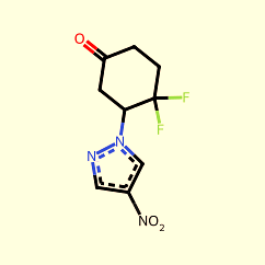 O=C1CCC(F)(F)C(n2cc([N+](=O)[O-])cn2)C1